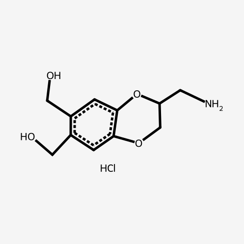 Cl.NCC1COc2cc(CO)c(CO)cc2O1